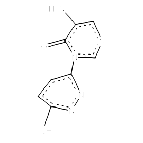 Cc1ccc(-n2cncc(N)c2=O)nn1